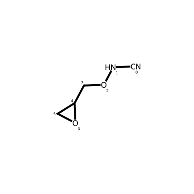 N#CNOCC1CO1